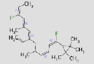 C=C\C(=C/C(C)=C/C(F)=C\C)CC(C)/C=C\C=C(\F)C1C(C)(C)C1(C)C